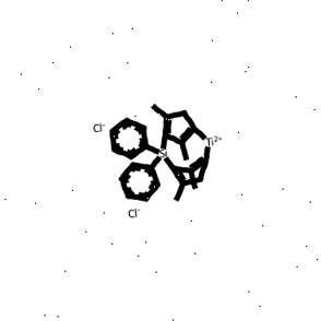 CC1=C2C(C)=[C](C1)[Ti+2][C]1=C(C)C(=C(C)C1)[Si]2(c1ccccc1)c1ccccc1.[Cl-].[Cl-]